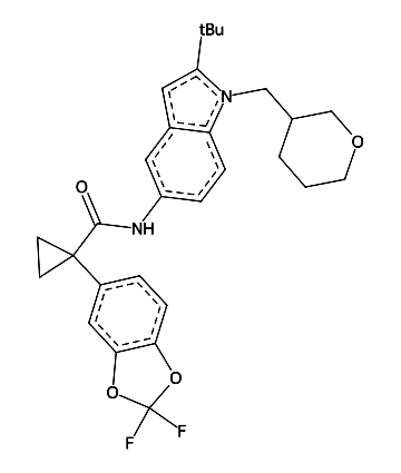 CC(C)(C)c1cc2cc(NC(=O)C3(c4ccc5c(c4)OC(F)(F)O5)CC3)ccc2n1CC1CCCOC1